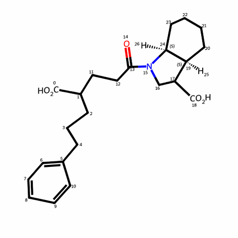 O=C(O)C(CCCc1ccccc1)CCC(=O)N1CC(C(=O)O)[C@@H]2CCCC[C@@H]21